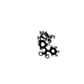 CC(C)S(=O)(=O)n1c(N)nc2ccc(C(=C(Cl)Cl)c3ccccc3)cc21